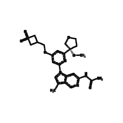 CO[C@@]1(c2cc(OCC3CS(=O)(=O)C3)cc(-n3cc(C)c4cnc(NC(N)=O)cc43)n2)CCOC1